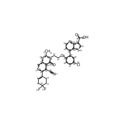 Cc1nc2cnc(C3=CCC(F)(F)CC3)c(C#N)c2c(=O)n1CCOc1ccc(Cl)cc1-c1ccnc2c(C(=O)O)csc12